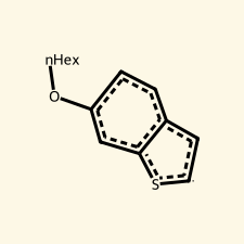 CCCCCCOc1ccc2c[c]sc2c1